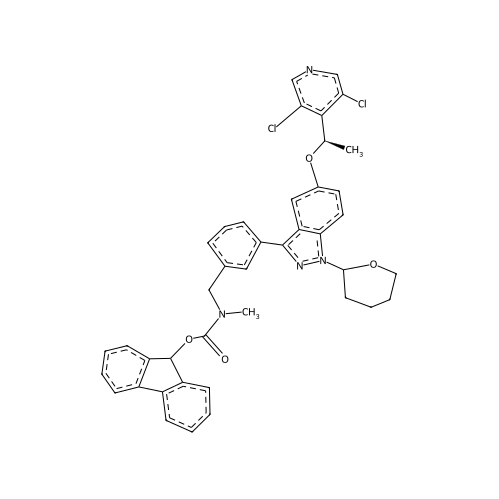 C[C@@H](Oc1ccc2c(c1)c(-c1cccc(CN(C)C(=O)OC3c4ccccc4-c4ccccc43)c1)nn2C1CCCCO1)c1c(Cl)cncc1Cl